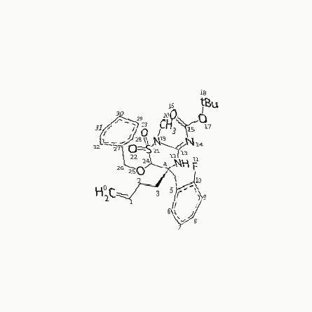 C=CCC[C@]1(c2ccccc2F)N/C(=N/C(=O)OC(C)(C)C)N(C)S(=O)(=O)C1OCc1ccccc1